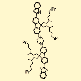 CC(C)CCCC(C)CCC1(CCC(C)CCCC(C)C)c2cc(-c3nc4ccccc4s3)ccc2-c2ccc(N3CCN(c4ccc5c(c4)C(CCC(C)CCCC(C)C)(CCC(C)CCCC(C)C)c4cc(-c6nc7ccccc7s6)ccc4-5)CC3)cc21